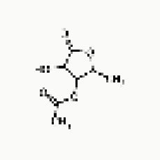 CC(=O)OC1C(C)OC(=O)C1O